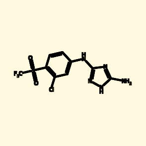 Nc1nc(Nc2ccc(S(=O)(=O)C(F)(F)F)c(Cl)c2)n[nH]1